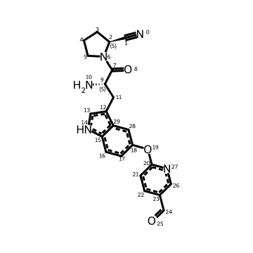 N#C[C@@H]1CCCN1C(=O)[C@@H](N)Cc1c[nH]c2ccc(Oc3ccc(C=O)cn3)cc12